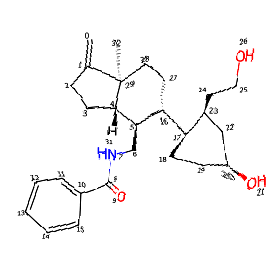 C=C1CC[C@H]2[C@H](CNC(=O)c3ccccc3)[C@@H]([C@@H]3CC[C@H](O)C[C@@H]3CCO)CC[C@]12C